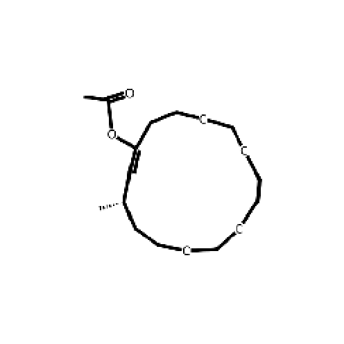 CC(=O)OC1=C[C@@H](C)CCCCCCCCCCCC1